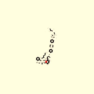 CC[C@@H]([C@H](C)OC(=O)[C@@H](N)CO)n1ncn(-c2ccc(N3CCN(c4ccc(OC[C@@H]5CO[C@@](Cn6c[n+](C(C)OC(=O)N(C)c7ccccc7COC(=O)[C@@H](N)CCCN)cn6)(c6ccc(F)cc6F)C5)cc4)CC3)cc2)c1=O